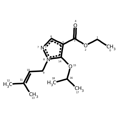 CCOC(=O)c1cnn(CC=C(C)C)c1OC(C)C